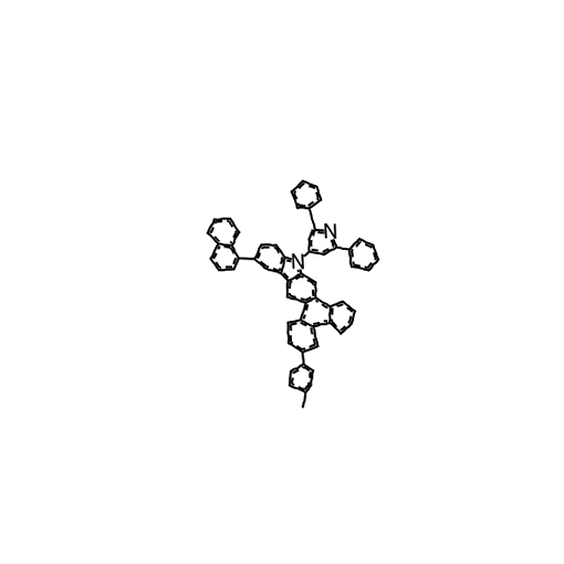 Cc1ccc(-c2ccc3c(c2)c2ccccc2c2cc4c(cc32)c2cc(-c3cccc5ccccc35)ccc2n4-c2cc(-c3ccccc3)nc(-c3ccccc3)c2)cc1